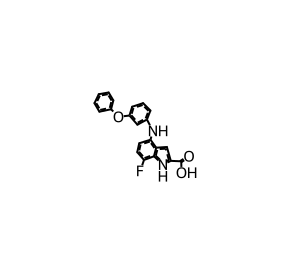 O=C(O)c1cc2c(Nc3cccc(Oc4ccccc4)c3)ccc(F)c2[nH]1